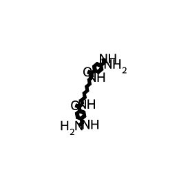 N=C(N)c1ccc(C(=O)NCCCCCCCNC(=O)c2ccc(C(=N)N)cc2)cc1